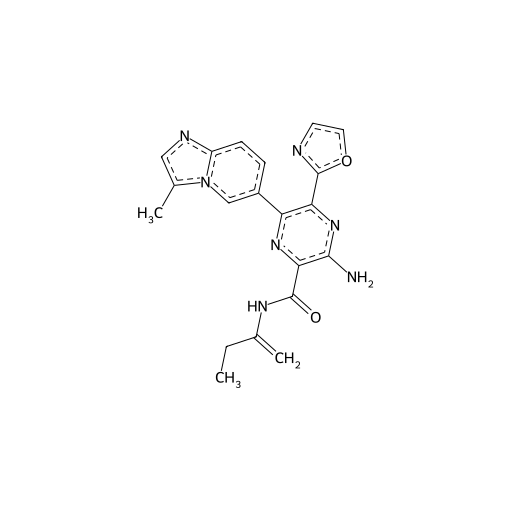 C=C(CC)NC(=O)c1nc(-c2ccc3ncc(C)n3c2)c(-c2ncco2)nc1N